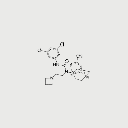 N#Cc1cccc([C@]23CC[C@@H](N(CCN4CCC4)C(=O)Nc4cc(Cl)cc(Cl)c4)CC2C3)c1